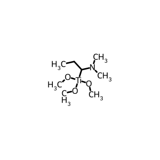 CC[CH](N(C)C)[Ti]([O]C)([O]C)[O]C